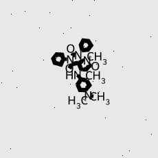 Cc1cc(N(C)C)ccc1Nc1cc(=O)n(C)c2c1c(=O)n(-c1ccccc1)c(=O)n2-c1ccccc1